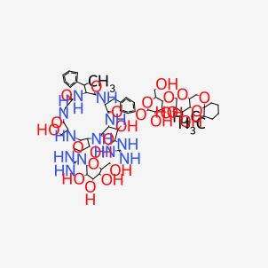 CC(c1ccccc1)C1NC(=O)CNC(=O)C(CO)NC(=O)C(C(O)C2CNC(=N)N2C2OC(CO)C(O)C(O)C2O)NC(=O)C(C(O)C2CNC(=N)N2)NC(=O)C(Cc2ccc(OC3OC(CO)C(OC4OC5COC6(CCCCC6(C)C)OC5C(O)C4O)C(O)C3O)cc2)NC1=O